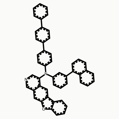 c1ccc(-c2ccc(-c3ccc(N(c4cccc(-c5cccc6ccccc56)c4)c4cncc5cc6oc7ccccc7c6cc45)cc3)cc2)cc1